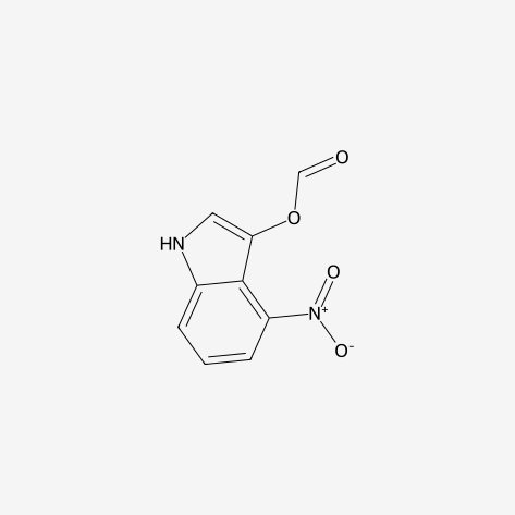 O=COc1c[nH]c2cccc([N+](=O)[O-])c12